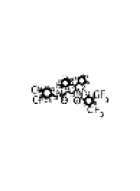 CN(C(=O)c1cc(C(F)(F)F)cc(C(F)(F)F)c1)C(CCC(=O)NCc1ccc(Cl)c(Cl)c1)C(c1ccccc1)c1ccccc1